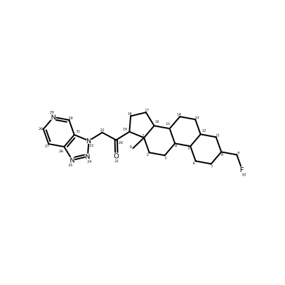 CC12CCC3C4CCC(CF)CC4CCC3C1CCC2C(=O)Cn1nnc2ccncc21